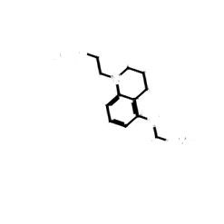 CCOC(=O)CCN1CCCc2c(OCOC)cccc21